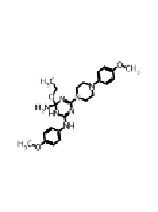 CCOC1(N)N=C(N2CCN(c3ccc(OC)cc3)CC2)N=C(Nc2ccc(OC)cc2)N1